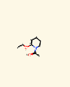 CCOC1CCCCN1C(C)=O